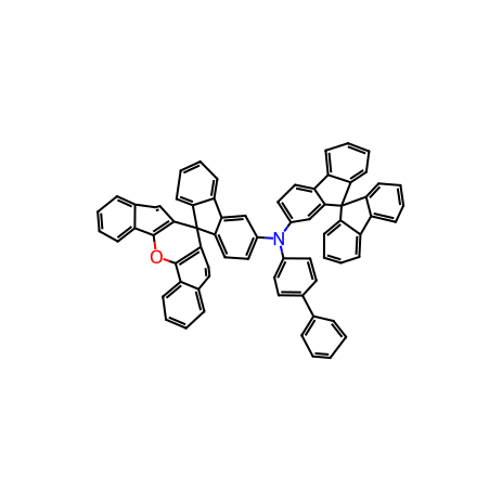 c1ccc(-c2ccc(N(c3ccc4c(c3)-c3ccccc3C43c4ccc5ccccc5c4Oc4c3ccc3ccccc43)c3ccc4c(c3)C3(c5ccccc5-c5ccccc53)c3ccccc3-4)cc2)cc1